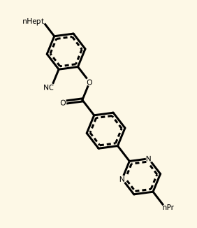 CCCCCCCc1ccc(OC(=O)c2ccc(-c3ncc(CCC)cn3)cc2)c(C#N)c1